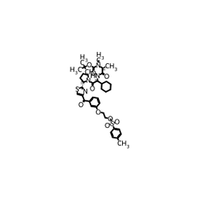 Cc1ccc(S(=O)(=O)OCCOc2cccc(C(=O)c3csc([C@@H]4CCCN4C(=O)[C@@H](NC(=O)[C@H](C)N(C)C(=O)OC(C)(C)C)C4CCCCC4)n3)c2)cc1